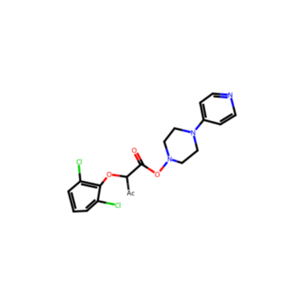 CC(=O)C(Oc1c(Cl)cccc1Cl)C(=O)ON1CCN(c2ccncc2)CC1